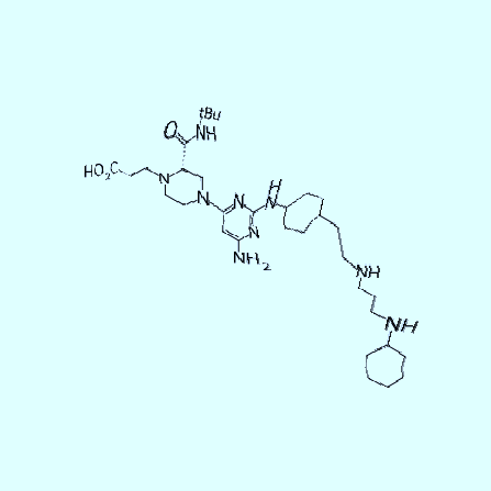 CC(C)(C)NC(=O)[C@@H]1CN(c2cc(N)nc(NC3CCC(CCNCCCNC4CCCCC4)CC3)n2)CCN1CCC(=O)O